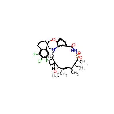 CO[C@H]1/C(C)=C/C(C)[C@H](C)[C@@H](C)S(=O)(=O)NC(=O)c2ccc3c(c2)N(C[C@@H]2CC[C@H]21)C[C@@]1(CCCc2c1cc(F)c(Cl)c2F)CO3